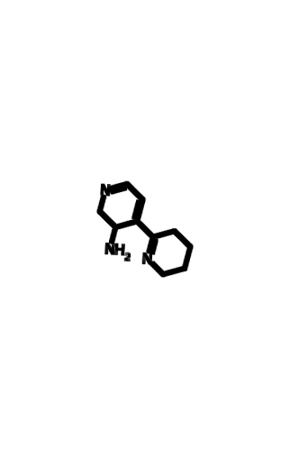 NC1CN=CC=C1C1=NCCCC1